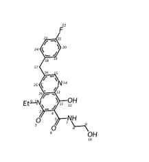 CCn1c(=O)c(C(=O)NCCO)c(O)c2ncc(Cc3ccc(F)cc3)cc21